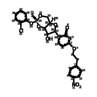 O=c1nc(OCCc2ccc([N+](=O)[O-])cc2)ccn1[C@@H]1O[C@@H]2COP(=S)(Oc3ccccc3Cl)OC2C1O